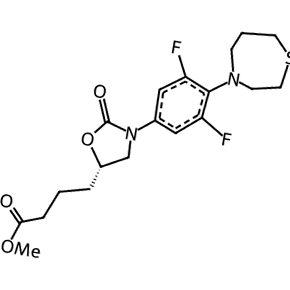 COC(=O)CCC[C@H]1CN(c2cc(F)c(N3CCCSCC3)c(F)c2)C(=O)O1